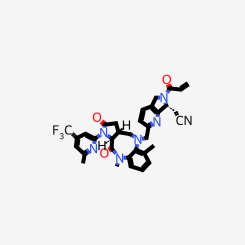 C=CC(=O)N1Cc2ccc(CN3C[C@H]4CC(=O)N(c5cc(C(F)(F)F)cc(C)n5)[C@@H]4C(=O)N(C)c4cccc(C)c43)nc2[C@H]1CC#N